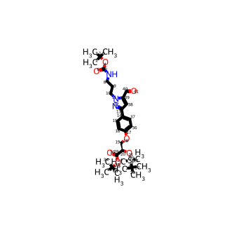 CC(C)(C)OC(=O)NCCCn1nc(-c2ccc(OC[C@@H](O[Si](C)(C)C(C)(C)C)C(=O)OC(C)(C)C)cc2)cc1C=O